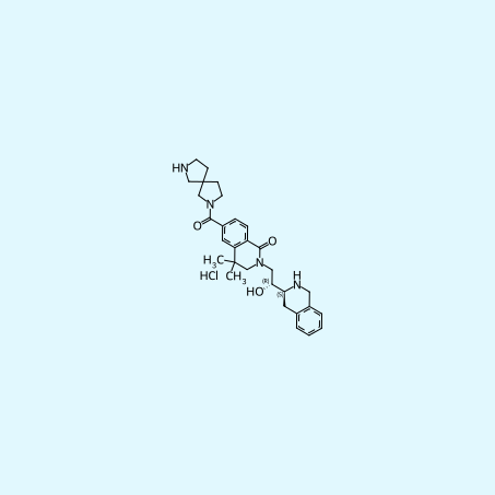 CC1(C)CN(C[C@@H](O)[C@@H]2Cc3ccccc3CN2)C(=O)c2ccc(C(=O)N3CCC4(CCNC4)C3)cc21.Cl